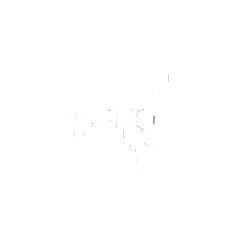 COCc1ccc(C(N)=O)c(C(=O)NCC(C)(C)O)n1